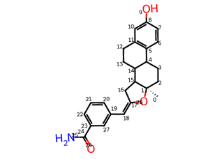 C[C@@]12CCC3c4ccc(O)cc4CCC3C1C/C(=C\c1cccc(C(N)=O)c1)O2